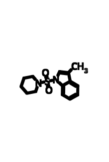 Cc1cn(S(=O)(=O)N2CCCCC2)c2ccccc12